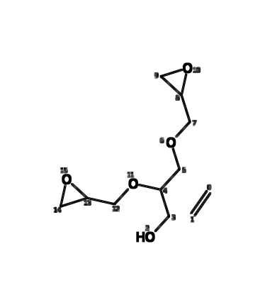 C=C.OCC(COCC1CO1)OCC1CO1